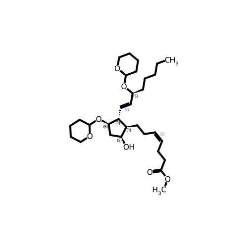 CCCCC[C@@H](/C=C/[C@@H]1[C@@H](CC/C=C\CCC(=O)OC)[C@@H](O)C[C@H]1OC1CCCCO1)OC1CCCCO1